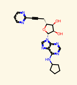 O[C@@H]1[C@H](O)[C@@H](CC#Cc2ncccn2)O[C@H]1n1cnc2c(NC3CCCC3)ncnc21